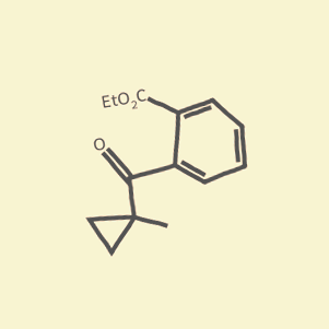 CCOC(=O)c1ccccc1C(=O)C1(C)CC1